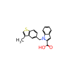 Cc1csc2ccc(Cn3c(C(=O)O)cc4ccccc43)cc12